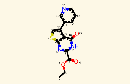 CCOC(=O)c1nc2scc(-c3cccnc3)c2c(=O)[nH]1